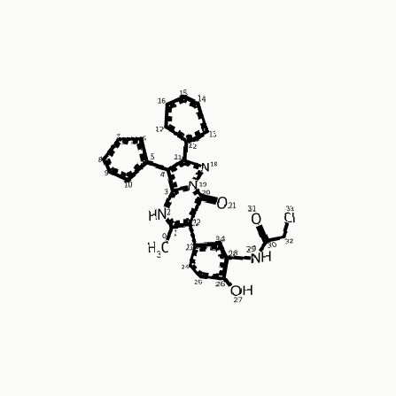 Cc1[nH]c2c(-c3ccccc3)c(-c3ccccc3)nn2c(=O)c1-c1ccc(O)c(NC(=O)CCl)c1